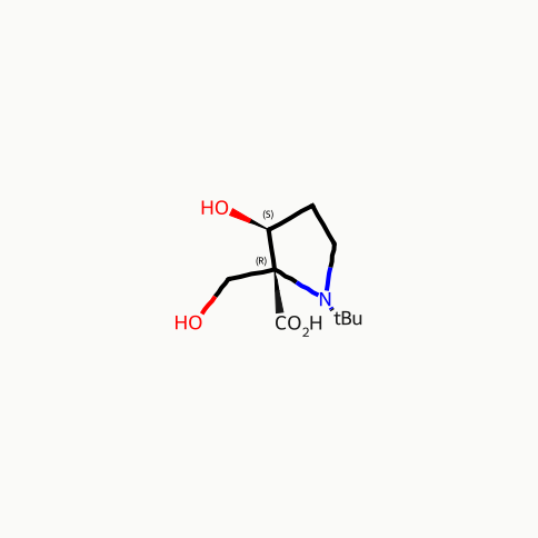 CC(C)(C)N1CC[C@H](O)[C@]1(CO)C(=O)O